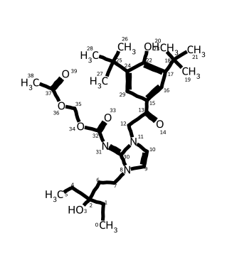 CCC(O)(CC)CCn1ccn(CC(=O)c2cc(C(C)(C)C)c(O)c(C(C)(C)C)c2)c1=NC(=O)OCOC(C)=O